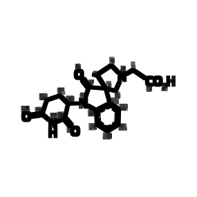 O=C(O)CN1CCC2(C1)C(=O)N(C1CCC(=O)NC1=O)c1ccccc12